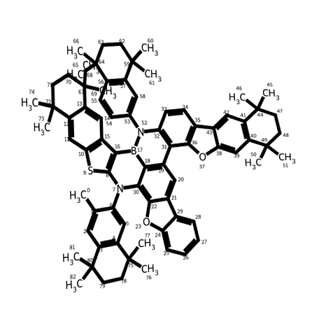 Cc1cc2c(cc1N1c3sc4cc5c(cc4c3B3c4c(cc6c(oc7ccccc76)c41)-c1c(ccc4c1oc1cc6c(cc14)C(C)(C)CCC6(C)C)N3c1ccc3c(c1)C(C)(C)CCC3(C)C)C(C)(C)CCC5(C)C)C(C)(C)CCC2(C)C